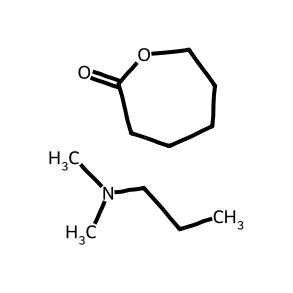 CCCN(C)C.O=C1CCCCCO1